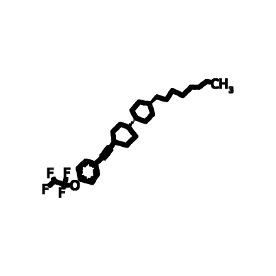 CCCCCCCC[C@H]1CC[C@H](C2CCC(C#Cc3ccc(OC(F)(F)C(F)F)cc3)CC2)CC1